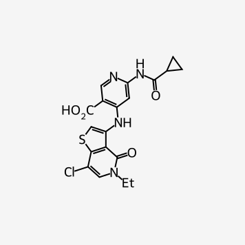 CCn1cc(Cl)c2scc(Nc3cc(NC(=O)C4CC4)ncc3C(=O)O)c2c1=O